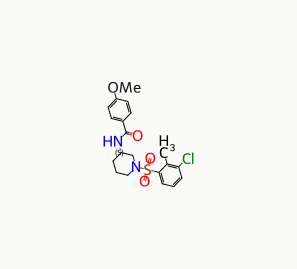 COc1ccc(C(=O)N[C@H]2CCCN(S(=O)(=O)c3cccc(Cl)c3C)C2)cc1